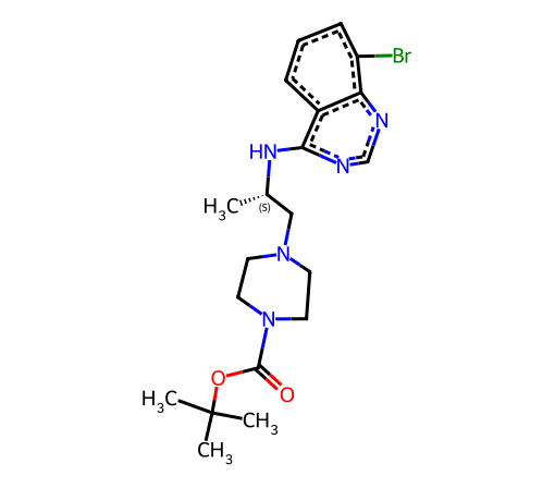 C[C@@H](CN1CCN(C(=O)OC(C)(C)C)CC1)Nc1ncnc2c(Br)cccc12